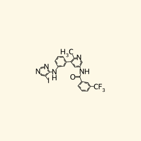 Cc1ncc(NC(=O)c2cccc(C(F)(F)F)c2)cc1-c1cccc(Nc2ncncc2I)c1